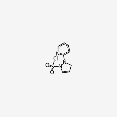 O=S(=O)(Cl)N1C=CCN1c1ccccn1